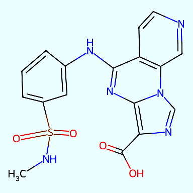 CNS(=O)(=O)c1cccc(Nc2nc3c(C(=O)O)ncn3c3cnccc23)c1